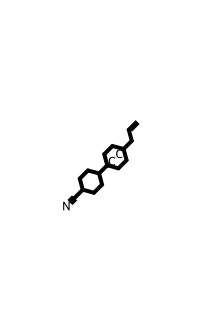 C=CCC12CCC(C3CCC(C#N)CC3)(CC1)CC2